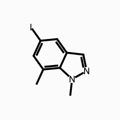 Cc1cc(I)cc2cnn(C)c12